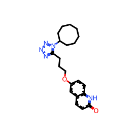 O=c1ccc2cc(OCCCc3nnnn3C3CCCCCCC3)ccc2[nH]1